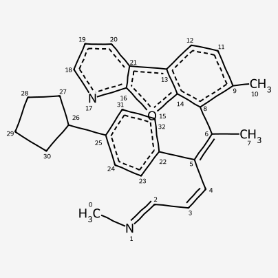 C/N=C/C=C\C(=C(/C)c1c(C)ccc2c1oc1ncccc12)c1ccc(C2CCCC2)cc1